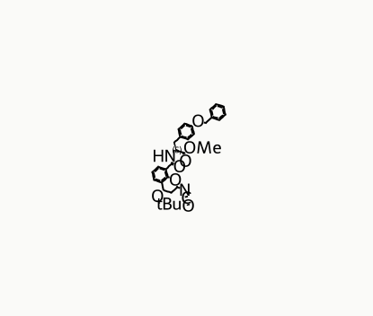 COC(=O)[C@H](Cc1ccc(OCc2ccccc2)cc1)NC(=O)c1cccc2c1OC(N=C=O)CC2OC(C)(C)C